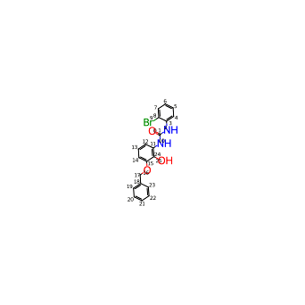 O=C(Nc1ccccc1Br)Nc1cccc(OCc2ccccc2)c1O